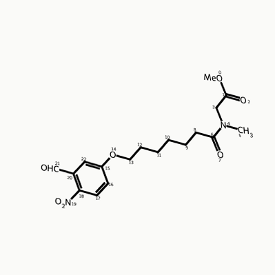 COC(=O)CN(C)C(=O)CCCCCCOc1ccc([N+](=O)[O-])c(C=O)c1